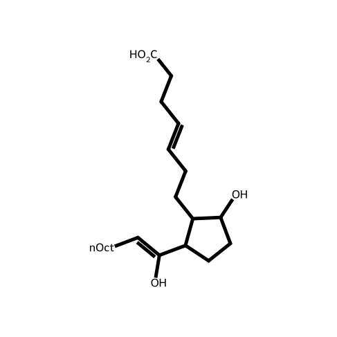 CCCCCCCCC=C(O)C1CCC(O)C1CCC=CCCC(=O)O